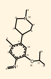 C=Nc1cc(C)c(C2CCN(C)CC2)cc1OC(C)C